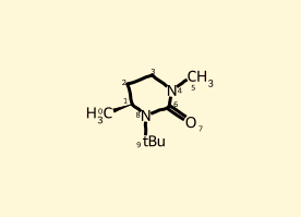 C[C@H]1CCN(C)C(=O)N1C(C)(C)C